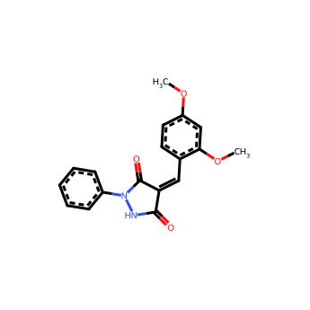 COc1ccc(C=C2C(=O)NN(c3ccccc3)C2=O)c(OC)c1